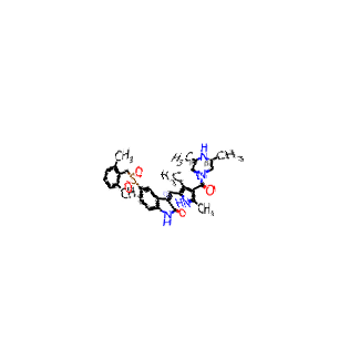 Cc1cccc(C)c1CS(=O)(=O)c1ccc2c(c1)/C(=C/c1[nH]c(C)c(C(=O)N3C[C@@H](C)N[C@@H](C)C3)c1C)C(=O)N2